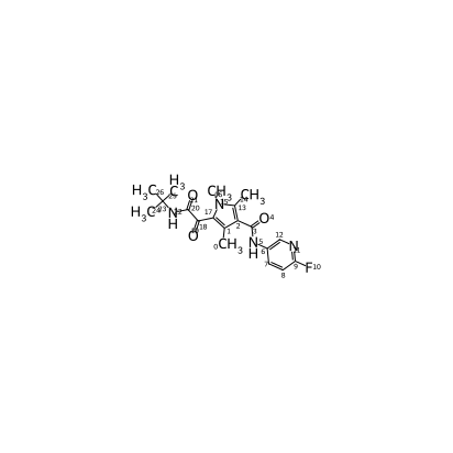 Cc1c(C(=O)Nc2ccc(F)nc2)c(C)n(C)c1C(=O)C(=O)NC(C)(C)C